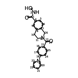 O=C(NO)c1ccc2c(c1)CCN(C(=O)c1ccc(-n3cccc3)cc1)C2